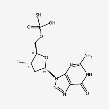 Nc1nc2c(nnn2[C@H]2C[C@H](F)[C@@H](COP(=O)(O)S)O2)c(=O)[nH]1